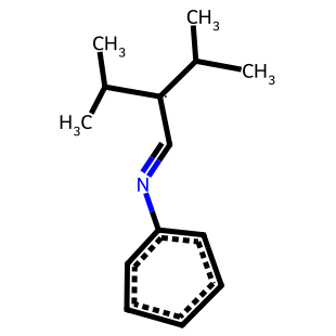 CC(C)[C](/C=N/c1ccccc1)C(C)C